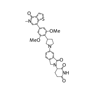 COc1cc(-c2cn(C)c(=O)c3ccsc23)cc(OC)c1C1CCN(c2ccc3c(c2)C(=O)N(C2CCC(=O)NC2=O)C3)C1